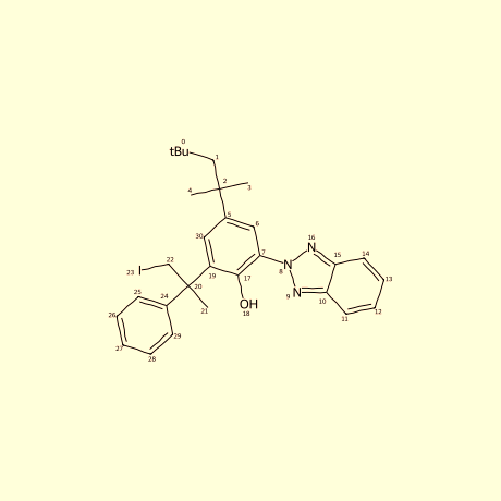 CC(C)(C)CC(C)(C)c1cc(-n2nc3ccccc3n2)c(O)c(C(C)(CI)c2ccccc2)c1